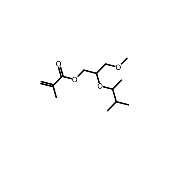 C=C(C)C(=O)OCC(COC)OC(C)C(C)C